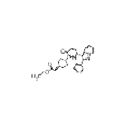 CCOC(=O)C=C1CCC(n2nc(-c3c(-c4ccccc4)nn4ccccc34)ccc2=O)CC1